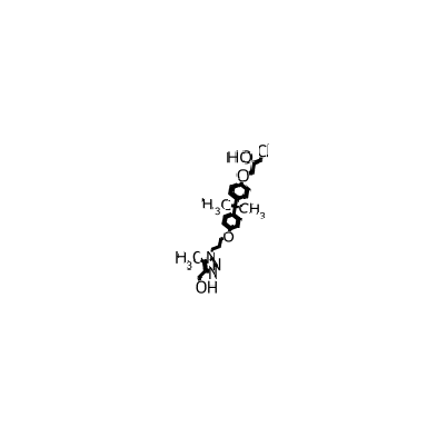 Cc1c(CO)nnn1CCCOc1ccc(C(C)(C)c2ccc(OC[C@H](O)CCl)cc2)cc1